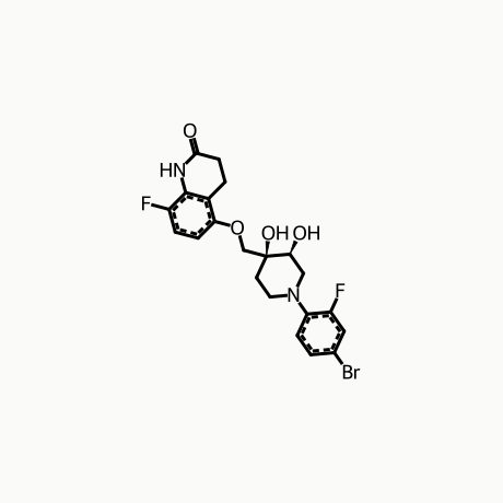 O=C1CCc2c(OC[C@@]3(O)CCN(c4ccc(Br)cc4F)C[C@@H]3O)ccc(F)c2N1